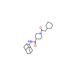 O=C(NC1C2CC3CC(C2)CC1C3)C1CCN(C(=O)CC2CCCCC2)CC1